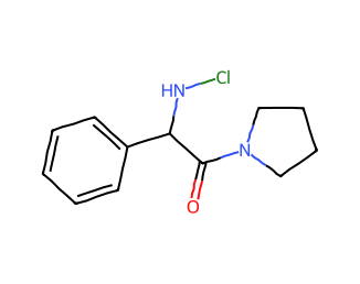 O=C(C(NCl)c1ccccc1)N1CCCC1